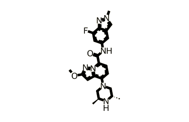 COc1cc2c(N3C[C@H](C)N[C@@H](C)C3)ccc(C(=O)Nc3cc(F)c4nn(C)cc4c3)n2n1